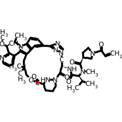 C=CC(=O)N1CC[C@H](C(=O)N(C)[C@H](C(=O)N[C@H]2Cn3cnc(n3)-c3ccc4c(c3)c(c(-c3cccnc3[C@H](C)OC)n4CC)CC(C)(C)COC[C@@]3(C=O)CCCN(N3)C2=O)C(C)C)C1